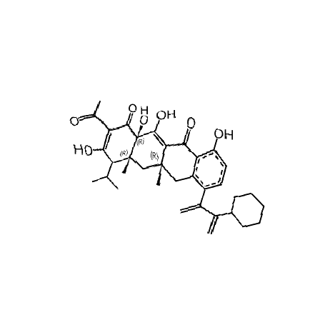 C=C(C(=C)C1CCCCC1)c1ccc(O)c2c1C[C@]1(C)C[C@]3(C)C(C(C)C)C(O)=C(C(C)=O)C(=O)[C@]3(O)C(O)=C1C2=O